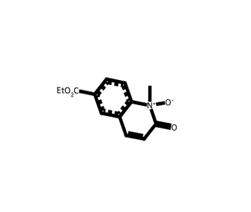 CCOC(=O)c1ccc2c(c1)C=CC(=O)[N+]2(C)[O-]